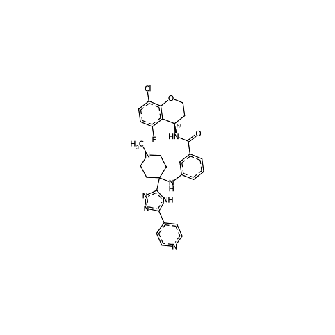 CN1CCC(Nc2cccc(C(=O)N[C@@H]3CCOc4c(Cl)ccc(F)c43)c2)(c2nnc(-c3ccncc3)[nH]2)CC1